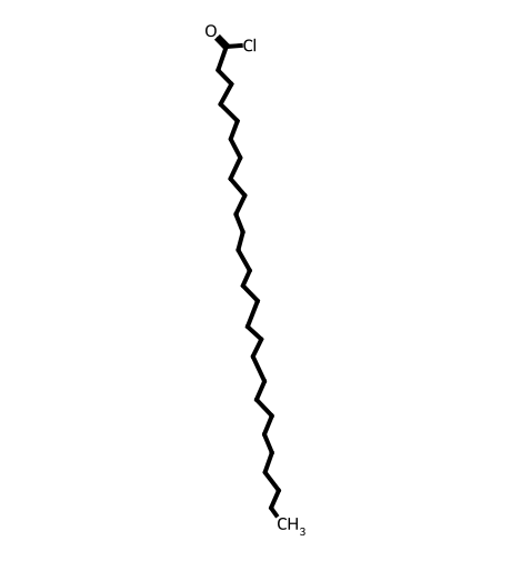 CCCCCCCCCCCCCCCCCCCCCCCCCCC(=O)Cl